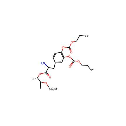 CCOC(=O)OC(C)[C@H](C)OC(=O)[C@@H](N)Cc1ccc(OC(=O)OCCC(C)C)c(OC(=O)OCCC(C)C)c1